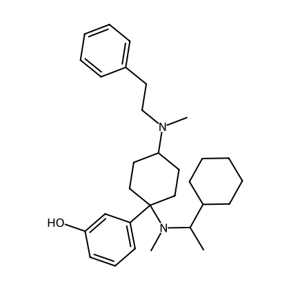 CC(C1CCCCC1)N(C)C1(c2cccc(O)c2)CCC(N(C)CCc2ccccc2)CC1